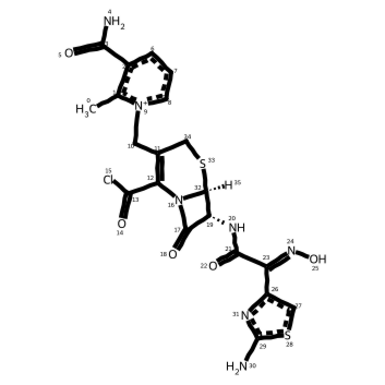 Cc1c(C(N)=O)ccc[n+]1CC1=C(C(=O)Cl)N2C(=O)[C@@H](NC(=O)C(=NO)c3csc(N)n3)[C@@H]2SC1